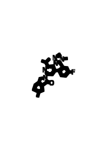 Cc1ccc2c(c1)C(=O)N(c1cc(-c3ccc(F)cc3-c3nncn3C)cc(C(C)C)n1)C2